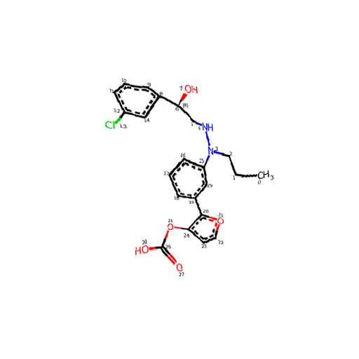 CCCN(NC[C@H](O)c1cccc(Cl)c1)c1cccc(-c2occc2OC(=O)O)c1